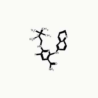 CC(C)(C)[C@H](N)CNc1nc(Nc2ccc3ncccc3c2)c(C(N)=O)cc1F